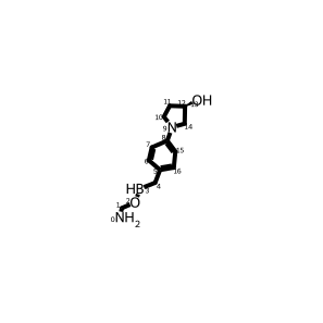 NCOBCc1ccc(N2CC[C@@H](O)C2)cc1